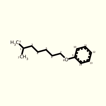 CC(C)CCCCCOc1ccccc1